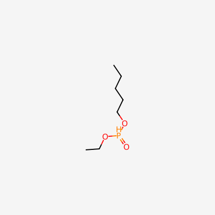 CCCCCO[PH](=O)OCC